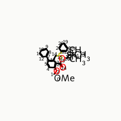 COCOc1ccc(-c2ccccc2)c(CSc2ccccc2)c1C(=O)OCC[Si](C)(C)C